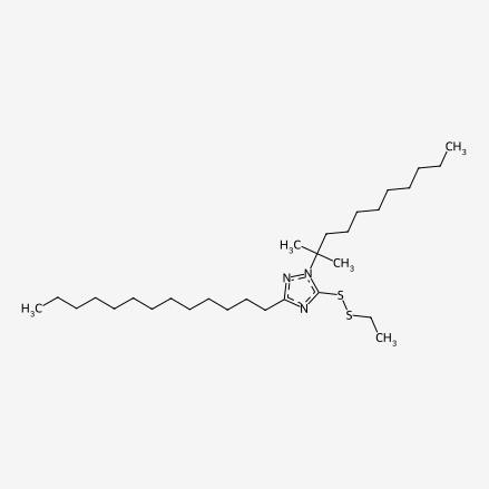 CCCCCCCCCCCCCc1nc(SSCC)n(C(C)(C)CCCCCCCCC)n1